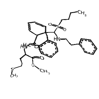 CCCCS(=O)(=O)C(NCCc1ccccc1)C1(c2ccccc2C)C=CC=CC1C(=O)NC(CCSC)C(=O)OC